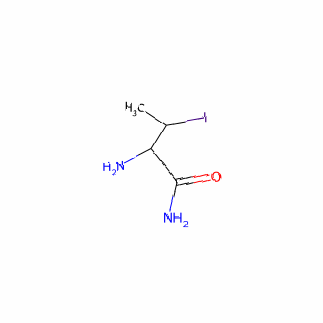 CC(I)C(N)C(N)=O